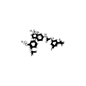 COc1cc([C@@]23CC[C@@H](NC(=O)Nc4cc(F)cc(C(F)(F)F)c4)C[C@@H]2N(C)CC3)ccc1OC(F)F